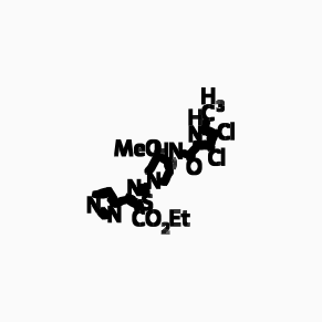 CCOC(=O)c1sc(N2CC[C@@H](NC(=O)c3[nH]c(C)c(Cl)c3Cl)[C@@H](OC)C2)nc1-c1ccncn1